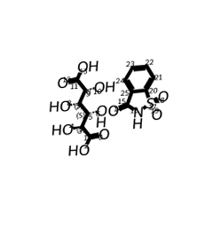 O=C(O)[C@@H](O)[C@@H](O)[C@H](O)[C@@H](O)C(=O)O.O=C1NS(=O)(=O)c2ccccc21